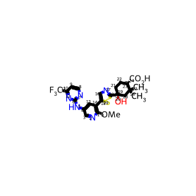 COc1ncc(Nc2nccc(C(F)(F)F)n2)cc1-c1cnc([C@]2(O)CC[C@@H](C(=O)O)C(C)(C)C2)s1